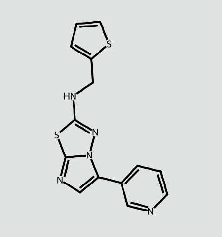 c1cncc(-c2cnc3sc(NCc4cccs4)nn23)c1